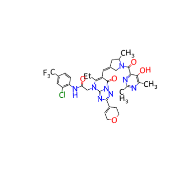 CCc1c(C=C2CC(C)N(C(=O)c3nc(C)nc(C)c3O)C2)c(=O)n2nc(C3=CCOCC3)nc2n1CC(=O)Nc1ccc(C(F)(F)F)cc1Cl